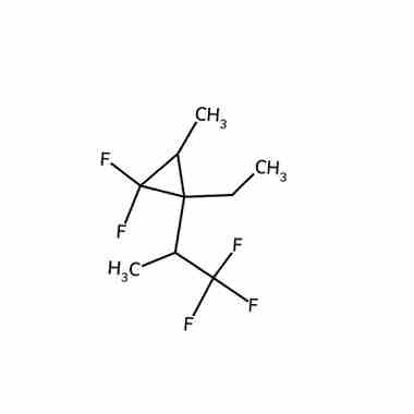 CCC1(C(C)C(F)(F)F)C(C)C1(F)F